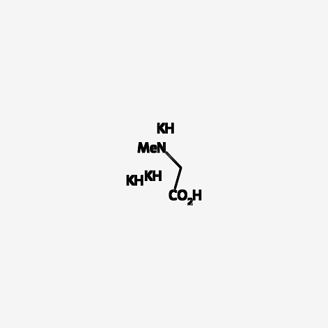 CNCC(=O)O.[KH].[KH].[KH]